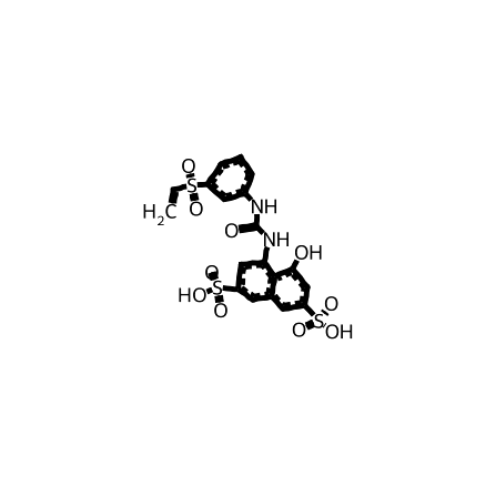 C=CS(=O)(=O)c1cccc(NC(=O)Nc2cc(S(=O)(=O)O)cc3cc(S(=O)(=O)O)cc(O)c23)c1